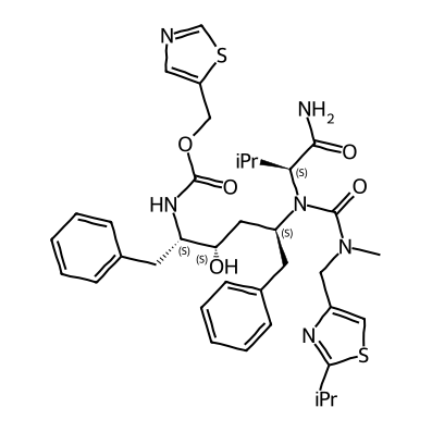 CC(C)c1nc(CN(C)C(=O)N([C@@H](Cc2ccccc2)C[C@H](O)[C@H](Cc2ccccc2)NC(=O)OCc2cncs2)[C@H](C(N)=O)C(C)C)cs1